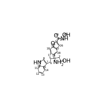 NC(CCO)(CCc1c[nH]c2ccccc12)c1ccc2oc(C(=O)NO)cc2c1